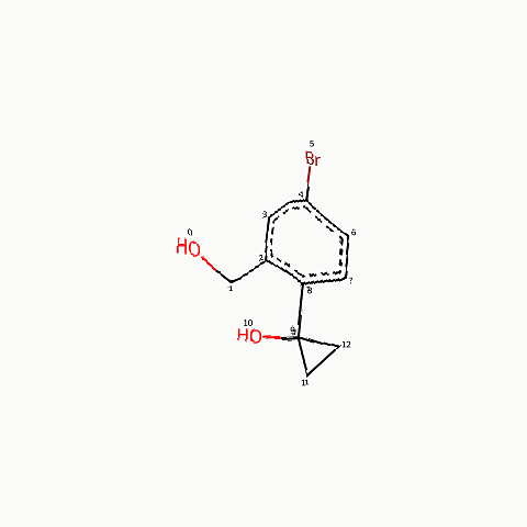 OCc1cc(Br)ccc1C1(O)CC1